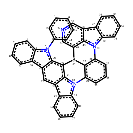 c1ccc(-n2c3ccccc3c3cc4c5ccccc5n5c4c(c32)B2c3c(cccc3-5)-n3c4ccccc4c4cncc2c43)cc1